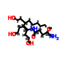 CCCCCC(CCO)C(CCO)=C(CCO)NC(=O)CCC(N)=O